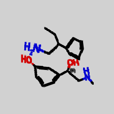 CCC(CN)c1ccccc1.CNC[C@H](O)c1cccc(O)c1